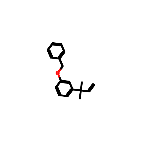 C=CC(C)(C)c1cccc(OCc2ccccc2)c1